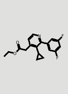 CCOC(=O)Cc1ccnc(-c2cc(F)cc(F)c2)c1C1CC1